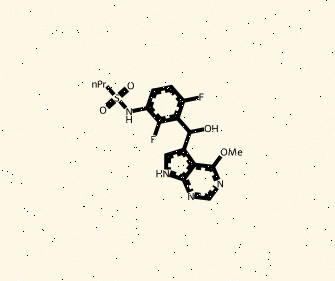 CCCS(=O)(=O)Nc1ccc(F)c(C(O)c2c[nH]c3ncnc(OC)c23)c1F